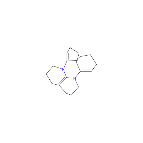 C1=C(N2CCCC3=C2N(C2=CCCCC2)CCC3)CCC1